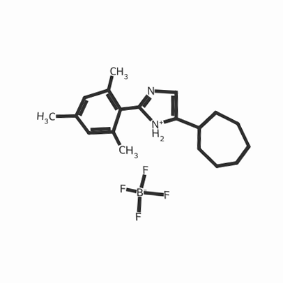 Cc1cc(C)c(C2=NC=C(C3CCCCCC3)[NH2+]2)c(C)c1.F[B-](F)(F)F